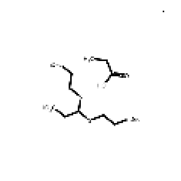 CCC(=O)O.CCCCCCCCCCCCSC(CC(=O)O)SCCCCCCCCCCCC